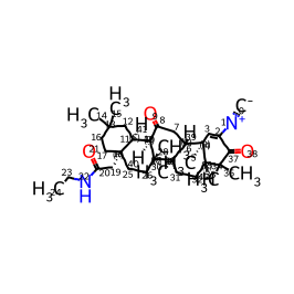 [C-]#[N+]C1=C[C@]2(C)[C@H]3CC(=O)[C@@H]4[C@@H]5CC(C)(C)CC[C@]5(CC(=O)NCC)CC[C@@]4(C)[C@]3(C)CC[C@H]2C(C)(C)C1=O